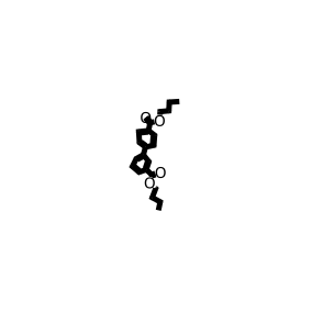 CCCCOC(=O)c1ccc(-c2cccc(C(=O)OCCCC)c2)cc1